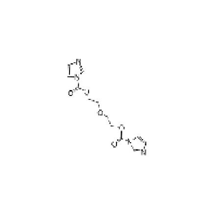 O=C(OCCOCCOC(=O)n1ccnc1)n1ccnc1